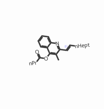 CCCCCCC/C=C/c1nc2ccccc2c(OC(=O)CCC)c1C